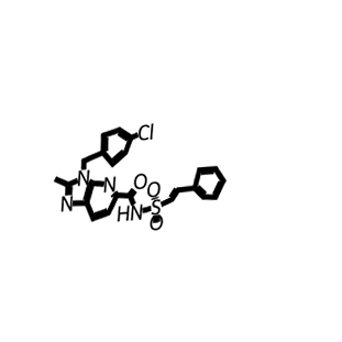 Cc1nc2ccc(C(=O)NS(=O)(=O)C=Cc3ccccc3)nc2n1Cc1ccc(Cl)cc1